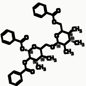 CC1[C@@H](OCC2O[C@@H](OC(=O)c3ccccc3)C(OC(=O)c3ccccc3)[C@@H](C)[C@@H]2C)OC(COC(=O)c2ccccc2)[C@@H](C)[C@@H]1C